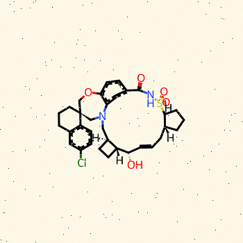 O=C1NS(=O)(=O)[C@H]2CCC[C@@H]2C/C=C/[C@H](O)[C@@H]2CC[C@H]2CN2C[C@@]3(CCCc4cc(Cl)ccc43)COc3ccc1cc32